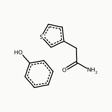 NC(=O)Cc1ccsc1.Oc1ccccc1